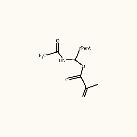 C=C(C)C(=O)OC(CCCCC)NC(=O)C(F)(F)F